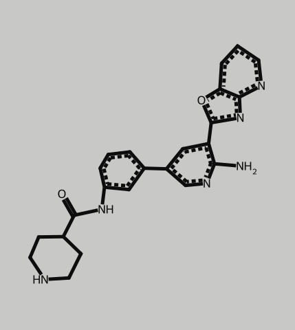 Nc1ncc(-c2cccc(NC(=O)C3CCNCC3)c2)cc1-c1nc2ncccc2o1